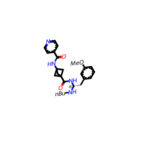 CCCCN[C@@H](Cc1cccc(OC)c1)NC(=O)C12CC(NC(=O)c3ccncc3)(C1)C2